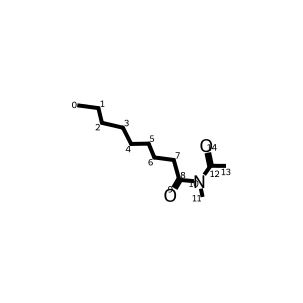 CCCCCCCCC(=O)N(C)C(C)=O